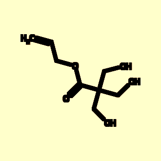 C=CCOC(=O)C(CO)(CO)CO